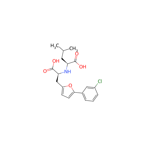 CC(C)C[C@H](N[C@@H](Cc1ccc(-c2cccc(Cl)c2)o1)C(=O)O)C(=O)O